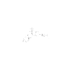 NC1CC2CNC(CC3(F)CCOCC3)C2C1